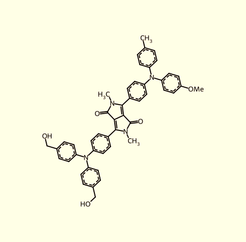 COc1ccc(N(c2ccc(C)cc2)c2ccc(C3=C4C(=O)N(C)C(c5ccc(N(c6ccc(CO)cc6)c6ccc(CO)cc6)cc5)=C4C(=O)N3C)cc2)cc1